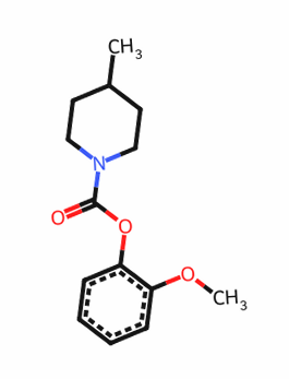 COc1ccccc1OC(=O)N1CCC(C)CC1